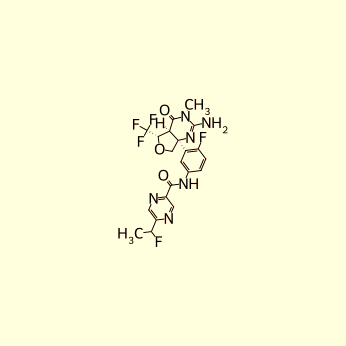 CC(F)c1cnc(C(=O)Nc2ccc(F)c([C@]34CO[C@H](C(F)(F)F)[C@H]3C(=O)N(C)C(N)=N4)c2)cn1